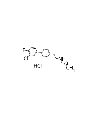 COCNCCc1ccc(-c2ccc(F)c(Cl)c2)cc1.Cl